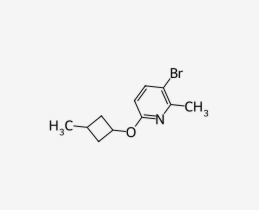 Cc1nc(OC2CC(C)C2)ccc1Br